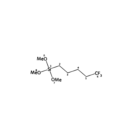 CO[Si](CCCCC(F)(F)F)(OC)OC